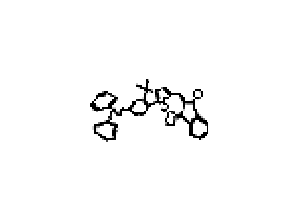 CC1(C)c2cc(N(c3ccccc3)c3ccccc3)ccc2-c2sc(C=C3C(=O)c4ccccc4C3=O)cc21